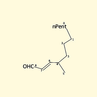 CCCCCCCCC(C)C=CC=O